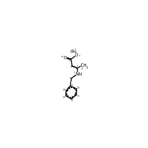 CC(CC(=O)OC(C)(C)C)NCc1ccccc1